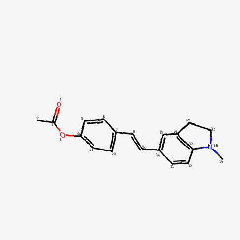 CC(=O)Oc1ccc(C=Cc2ccc3c(c2)CCN3C)cc1